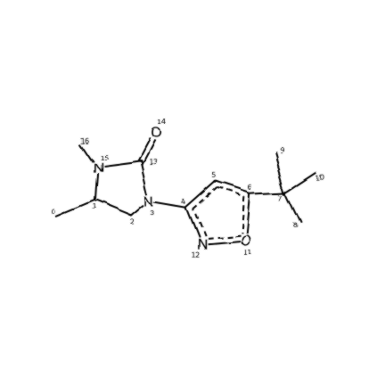 CC1CN(c2cc(C(C)(C)C)on2)C(=O)N1C